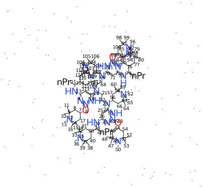 CCCC(NC1=NN(OC2CC(C)(C)N(C)C(C)(C)C2)NC(N(CCN(C2=CC(NC(CCC)C3CC(C)(C)N(C)C(C)(C)C3)=NN(OC3CC(C)(C)N(C)C(C)(C)C3)N2)C2CC(C)(C)N(C)C(C)(C)C2)CCN(C2=CC(NC(CCC)C3CC(C)(C)N(C)C(C)(C)C3)=NN(OC3CC(C)(C)N(C)C(C)(C)C3)N2)C2CC(C)(C)N(C)C(C)(C)C2)=C1)C1CC(C)(C)N(C)C(C)(C)C1